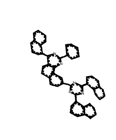 c1ccc(-c2nc(-c3cccc4ccccc34)c3ccc4ccc(-c5nc(-c6cccc7ccccc67)nc(-c6cccc7ccccc67)n5)cc4c3n2)cc1